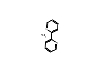 N.c1ccc(-c2ccccn2)nc1